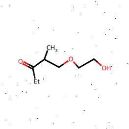 CCC(=O)C(C)COCCO